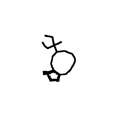 CCC(C)(CC)C1CCCCCc2nc[nH]c2CC1